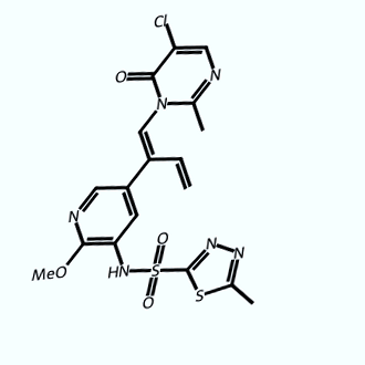 C=C/C(=C\n1c(C)ncc(Cl)c1=O)c1cnc(OC)c(NS(=O)(=O)c2nnc(C)s2)c1